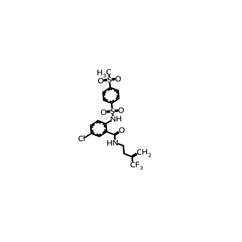 C=C(CCNC(=O)c1cc(Cl)ccc1NS(=O)(=O)c1ccc(S(C)(=O)=O)cc1)C(F)(F)F